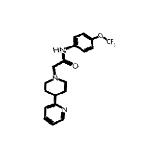 O=C(CN1CCC(c2ccccn2)CC1)Nc1ccc(OC(F)(F)F)cc1